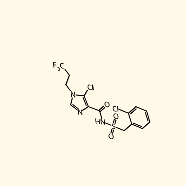 O=C(NS(=O)(=O)Cc1ccccc1Cl)c1ncn(CCC(F)(F)F)c1Cl